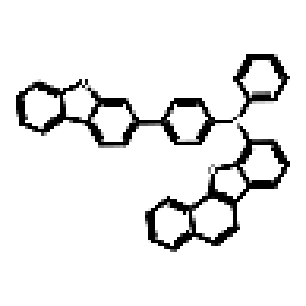 c1ccc(N(c2ccc(-c3ccc4c(c3)oc3ccccc34)cc2)c2cccc3c2oc2c4ccccc4ccc32)cc1